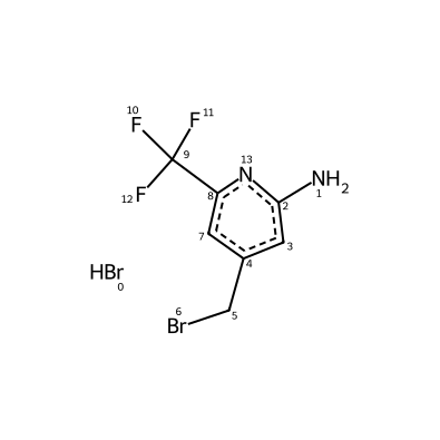 Br.Nc1cc(CBr)cc(C(F)(F)F)n1